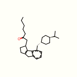 CCCCCC(=O)CC1CCC2=C1c1c(cccc1C[C@H]1CC[C@H](C(C)C)CC1)C2